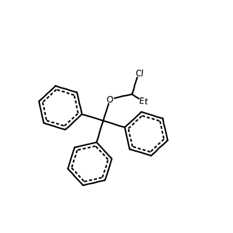 CCC(Cl)OC(c1ccccc1)(c1ccccc1)c1ccccc1